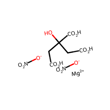 O=C(O)CC(O)(CC(=O)O)C(=O)O.O=[N+]([O-])[O-].O=[N+]([O-])[O-].[Mg+2]